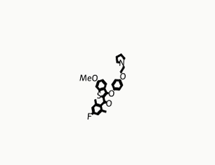 COc1ccc2c(Oc3ccc(OCCN4CCCC4)cc3)c(C(=O)c3c(C)cc(F)cc3C)sc2c1